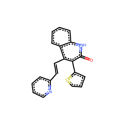 O=c1[nH]c2ccccc2c(/C=C/c2ccccn2)c1-c1cccs1